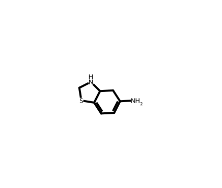 NC1=CC=C2SCNC2C1